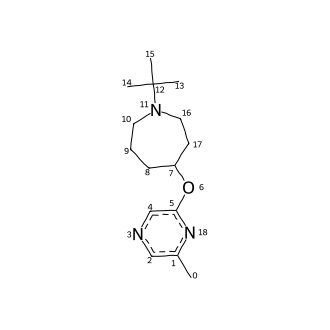 Cc1cncc(OC2CCCN(C(C)(C)C)CC2)n1